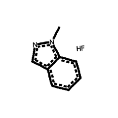 Cn1ncc2ccccc21.F